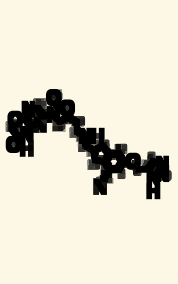 N#Cc1cc(OCc2cnn[nH]2)cc2c1CC(CNCCC1CN(c3cnc4c(n3)NC(=O)CO4)C(=O)O1)C2